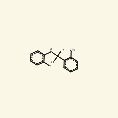 CCC(CC)(Pc1ccccc1F)c1ccccc1O